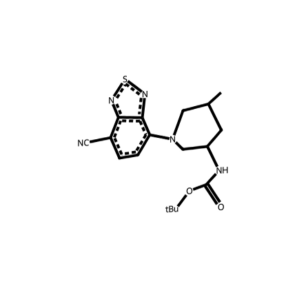 CC1CC(NC(=O)OC(C)(C)C)CN(c2ccc(C#N)c3nsnc23)C1